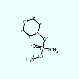 CP(=O)(ON)ON1CCOCC1